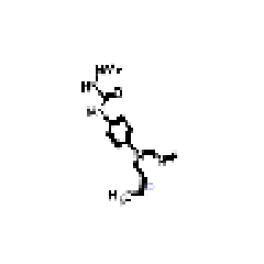 C/C=C\CN(C=NF)c1ccc(NC(=O)NNC)cc1